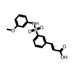 COc1cccc(NS(=O)(=O)c2cccc(/C=C/C(=O)O)c2)c1